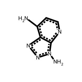 Nc1ccnc2c1nnn2N